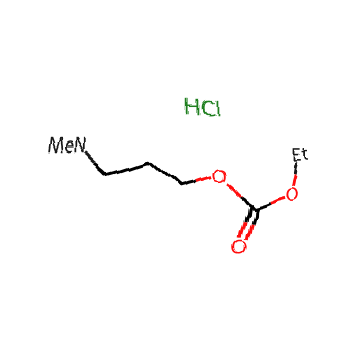 CCOC(=O)OCCCNC.Cl